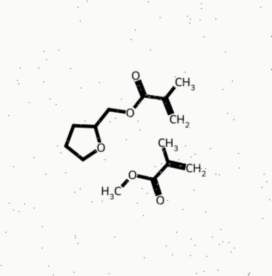 C=C(C)C(=O)OC.C=C(C)C(=O)OCC1CCCO1